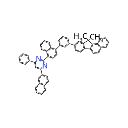 CC1(C)c2cc(-c3cccc(-c4ccc(-c5nc(-c6ccccc6)cc(-c6ccc7ccccc7c6)n5)c5ccccc45)c3)ccc2-c2ccc3ccccc3c21